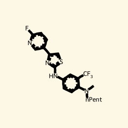 CCCCCN(C)c1ccc(Nc2nc(-c3ccc(F)nc3)cs2)cc1C(F)(F)F